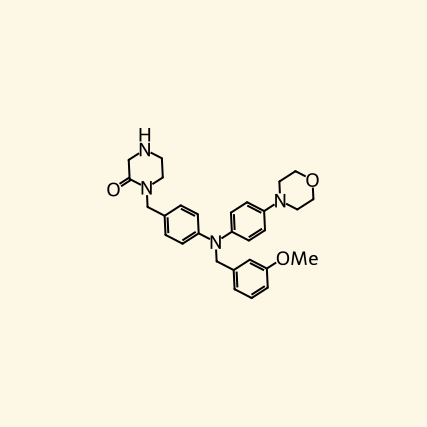 COc1cccc(CN(c2ccc(CN3CCNCC3=O)cc2)c2ccc(N3CCOCC3)cc2)c1